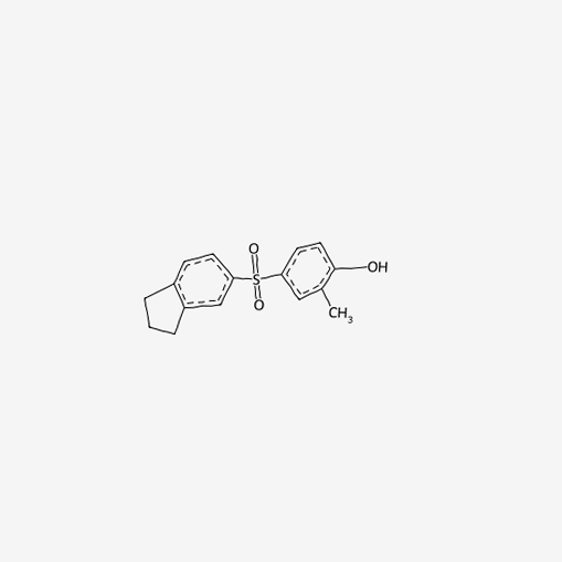 Cc1cc(S(=O)(=O)c2ccc3c(c2)CCC3)ccc1O